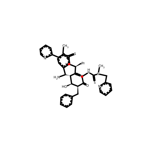 CC(C)[C@H](NC(=S)N(C)Cc1ccccn1)C(=O)[C@@H](Cc1ccccc1)[C@@H](O)[C@@H](C(=O)[C@@H](NC(=S)N(C)Cc1ccccn1)C(C)C)C(N)c1ccccc1